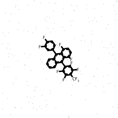 Fc1ccc(-c2c3ccccc3c(-c3c(F)c(F)c(C(F)(F)F)c(F)c3F)c3c(F)ccc(F)c23)cc1F